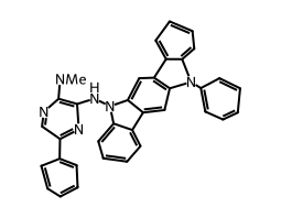 CNc1ncc(-c2ccccc2)nc1Nn1c2ccccc2c2cc3c(cc21)c1ccccc1n3-c1ccccc1